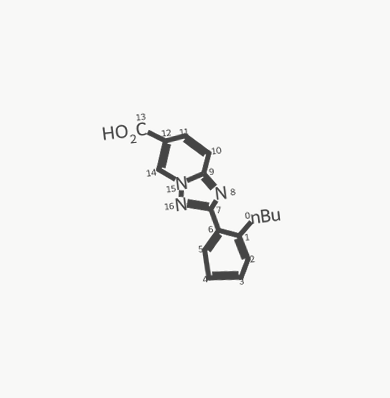 CCCCc1ccccc1-c1nc2ccc(C(=O)O)cn2n1